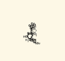 CCCCN1CCCN(C(=O)OC2/C=C/C(C)C(/C(C)=C/C=C/C(C)(O)CC3OC3C(C)C(O)CC)OC(=O)CC(O)CCC2(C)OC)CC1